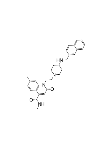 CNC(=O)c1cc(=O)n(CCN2CCC(NCc3ccc4ccccc4c3)CC2)c2cc(C)ccc12